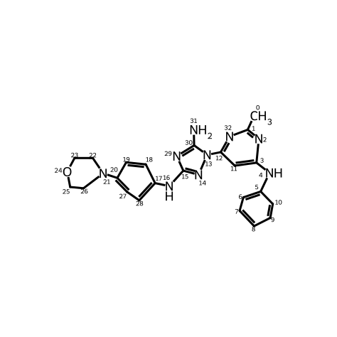 Cc1nc(Nc2ccccc2)cc(-n2nc(Nc3ccc(N4CCOCC4)cc3)nc2N)n1